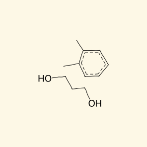 Cc1ccccc1C.OCCCO